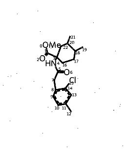 COC(=O)C1(NC(=O)Cc2ccc(C)cc2Cl)CCC(C)C(C)C1